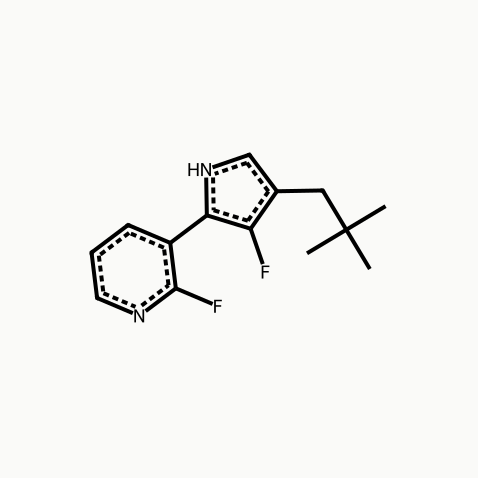 CC(C)(C)Cc1c[nH]c(-c2cccnc2F)c1F